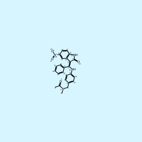 CC(=O)N(C)Cc1ccc(N/C(=C2\C(=O)Nc3ccc([N+](=O)[O-])cc32)c2ccccc2)cc1